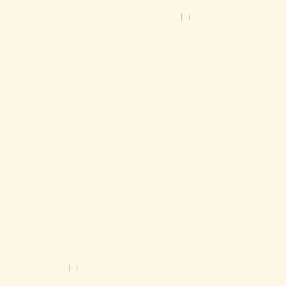 CCC=C=CCCCCCC=CCC